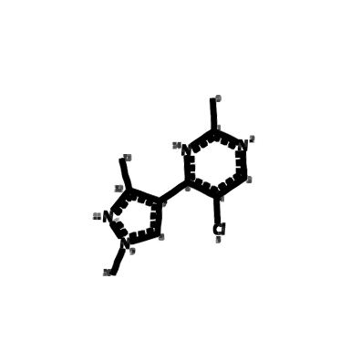 Cc1ncc(Cl)c(-c2cn(C)nc2C)n1